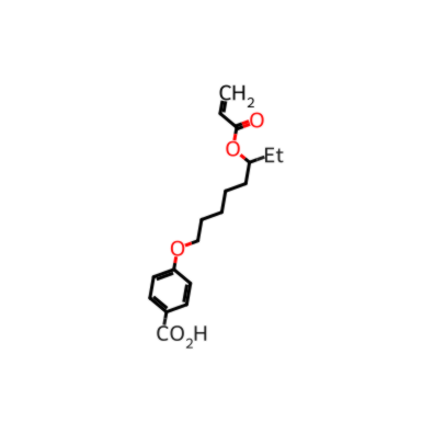 C=CC(=O)OC(CC)CCCCCOc1ccc(C(=O)O)cc1